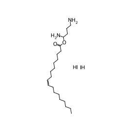 CCCCCCCC/C=C\CCCCCCCC(=O)OC(N)CCCN.I.I